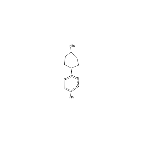 CCCCC1CCC(c2ncc(CCC)cn2)CC1